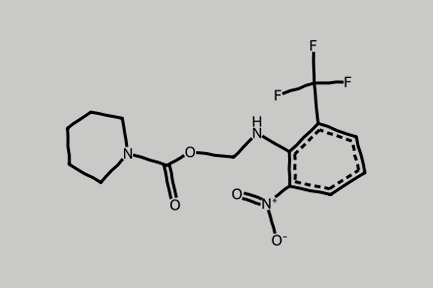 O=C(OCNc1c([N+](=O)[O-])cccc1C(F)(F)F)N1CCCCC1